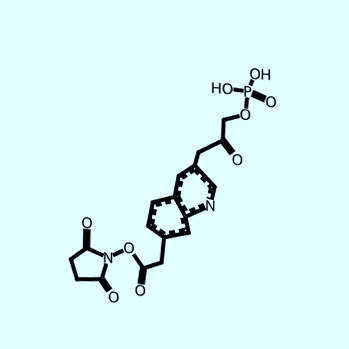 O=C(COP(=O)(O)O)Cc1cnc2cc(CC(=O)ON3C(=O)CCC3=O)ccc2c1